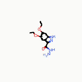 CCOc1cc2[nH]nc(C(=O)NN)c2cc1OCC